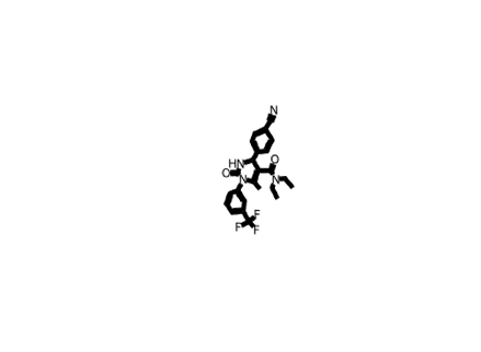 CCN(CC)C(=O)C1=C(C)N(c2cccc(C(F)(F)F)c2)C(=O)NC1c1ccc(C#N)cc1